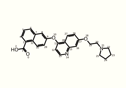 O=C(O)c1cccc2cc(Oc3ccnc4cc(OCCN5CCCC5)ccc34)ccc12